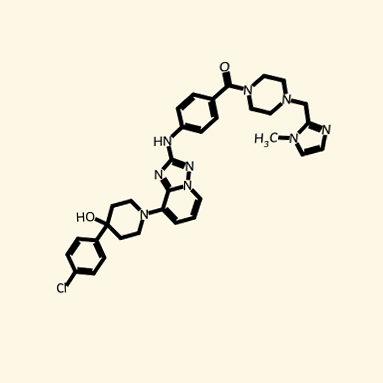 Cn1ccnc1CN1CCN(C(=O)c2ccc(Nc3nc4c(N5CCC(O)(c6ccc(Cl)cc6)CC5)cccn4n3)cc2)CC1